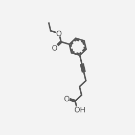 CCOC(=O)c1cccc(C#CCCCC(=O)O)c1